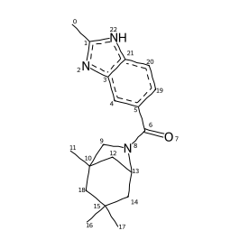 Cc1nc2cc(C(=O)N3CC4(C)CC3CC(C)(C)C4)ccc2[nH]1